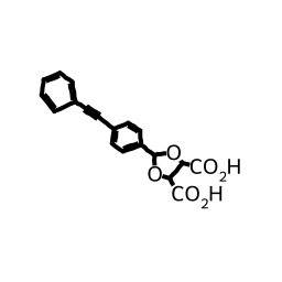 O=C(O)C1OC(c2ccc(C#Cc3ccccc3)cc2)OC1C(=O)O